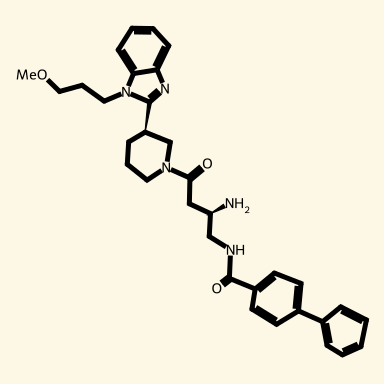 COCCCn1c([C@@H]2CCCN(C(=O)C[C@@H](N)CNC(=O)c3ccc(-c4ccccc4)cc3)C2)nc2ccccc21